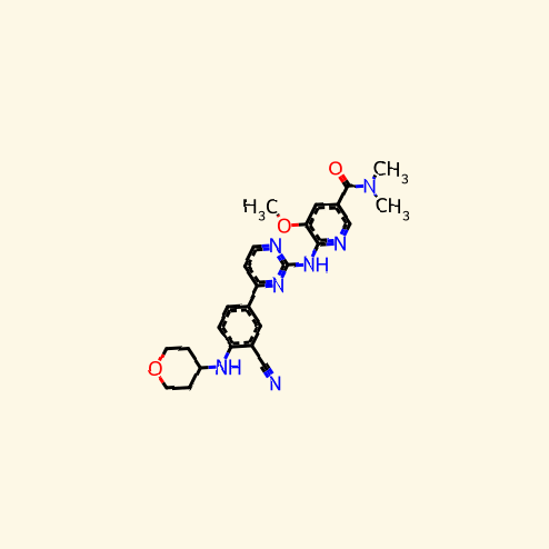 COc1cc(C(=O)N(C)C)cnc1Nc1nccc(-c2ccc(NC3CCOCC3)c(C#N)c2)n1